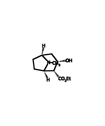 CCOC(=O)[C@@H]1[C@H]2CC[C@@H](C[C@@H]1O)N2C